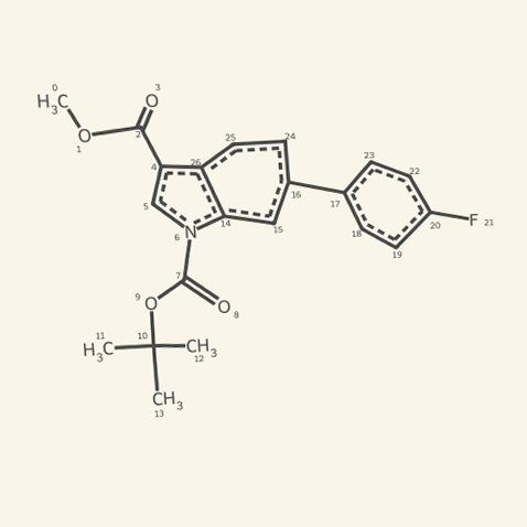 COC(=O)c1cn(C(=O)OC(C)(C)C)c2cc(-c3ccc(F)cc3)ccc12